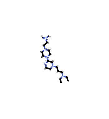 CCN(CC)CCCN1CC[N]C(N2CCN(CCN(C)C)CC2)C1